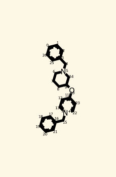 c1ccc(CN2CCCC(Oc3cc[n+](Cc4ccccc4)cc3)C2)cc1